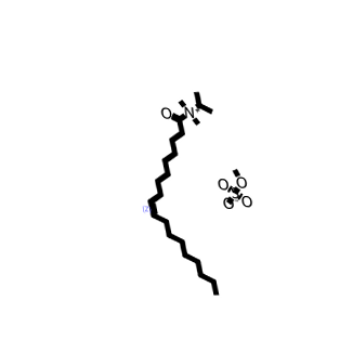 CCCCCCCC/C=C\CCCCCCCC(=O)[N+](C)(C)C(C)C.COS(=O)(=O)[O-]